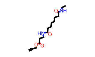 C#CCOC(=O)CCNC(=O)CCCCCCC(=O)NCC